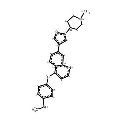 CNc1ccc(Oc2ccnc3cc(-c4cnn(C5CCN(C)CC5)c4)ccc23)cc1